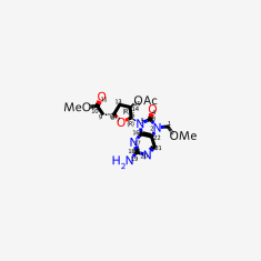 COCn1c(=O)n([C@@H]2O[C@H](CC(=O)OC)C[C@H]2OC(C)=O)c2nc(N)ncc21